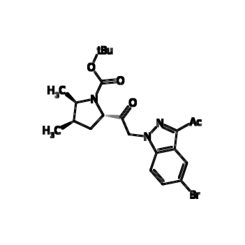 CC(=O)c1nn(CC(=O)[C@@H]2C[C@@H](C)[C@@H](C)N2C(=O)OC(C)(C)C)c2ccc(Br)cc12